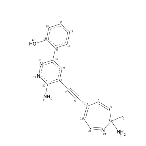 CC1(N)C=CC(C#Cc2cc(-c3ccccc3O)nnc2N)=CC=N1